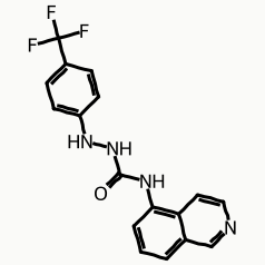 O=C(NNc1ccc(C(F)(F)F)cc1)Nc1cccc2cnccc12